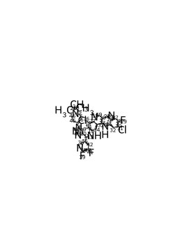 CC(C)(C)N1CCC(n2cc(C(Nc3cc(Cl)c4ncc(C#N)c(Nc5ccc(F)c(Cl)c5)c4c3)c3cnc(F)c(F)c3)nn2)CC1